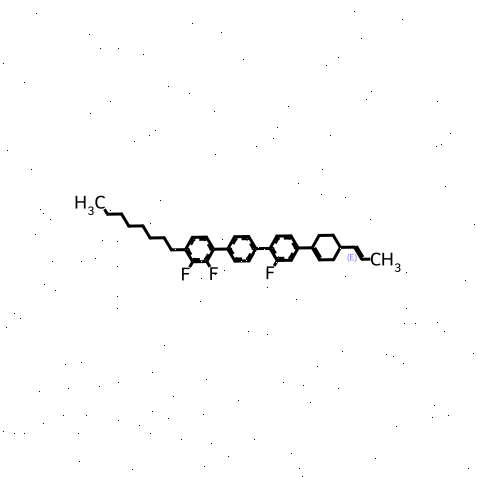 C/C=C/C1CC=C(c2ccc(-c3ccc(-c4ccc(CCCCCCCC)c(F)c4F)cc3)c(F)c2)CC1